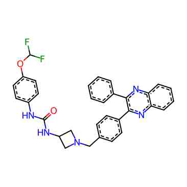 O=C(Nc1ccc(OC(F)F)cc1)NC1CN(Cc2ccc(-c3nc4ccccc4nc3-c3ccccc3)cc2)C1